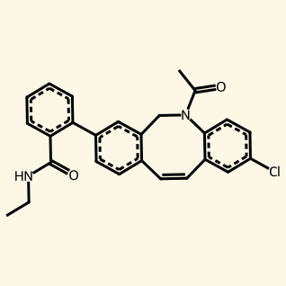 CCNC(=O)c1ccccc1-c1ccc2c(c1)CN(C(C)=O)c1ccc(Cl)cc1C=C2